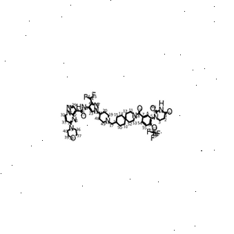 O=C1CCN(c2cc(C(=O)N3CCC4(CCC(CN5CCC(n6cc(NC(=O)c7cnn8ccc(N9CCOCC9)nc78)c(C(F)F)n6)CC5)CC4)CC3)ccc2OC(F)(F)F)C(=O)N1